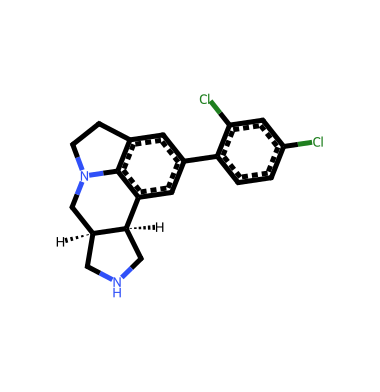 Clc1ccc(-c2cc3c4c(c2)[C@H]2CNC[C@H]2CN4CC3)c(Cl)c1